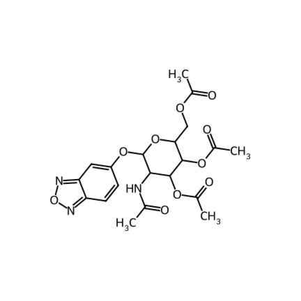 CC(=O)NC1C(Oc2ccc3nonc3c2)OC(COC(C)=O)C(OC(C)=O)C1OC(C)=O